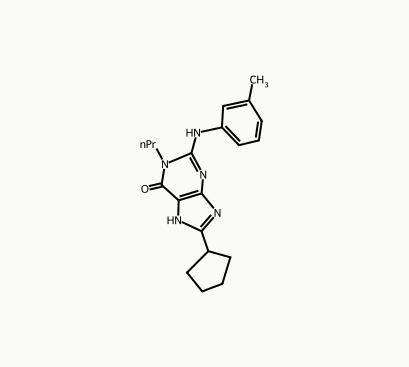 CCCn1c(Nc2cccc(C)c2)nc2nc(C3CCCC3)[nH]c2c1=O